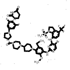 CCc1cc(Nc2ncc(Br)c(Nc3ccc(C(F)(F)F)c4c3N(S(C)(=O)=O)CC4)n2)c(OC)cc1N1CCC(N2CCN(C(=O)[C@@H]3CCN(c4cc(F)c([C@H]5CCC(=O)NC5=O)c(F)c4)C3)CC2)CC1